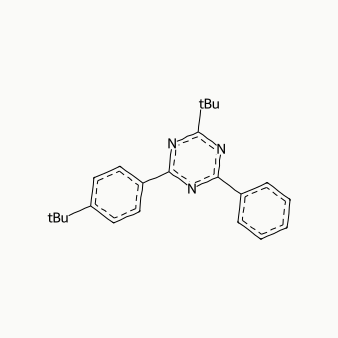 CC(C)(C)c1ccc(-c2nc(-c3ccccc3)nc(C(C)(C)C)n2)cc1